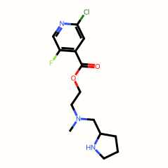 CN(CCOC(=O)c1cc(Cl)ncc1F)CC1CCCN1